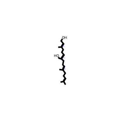 CC(C)=CCC/C(C)=C/CC/C(=C/CC/C(C)=C/CO)CO